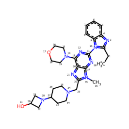 CCc1nc2ccccc2n1-c1nc(N2CCOCC2)c2nc(CN3CCC(N4CC(O)C4)CC3)n(C)c2n1